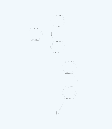 CN(c1ccc(C#N)cc1)c1ccc(-c2ccc(N(c3ccccc3)c3ccccc3)cc2)cc1